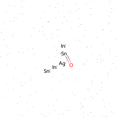 [Ag].[In].[In].[O]=[Sn].[Sn]